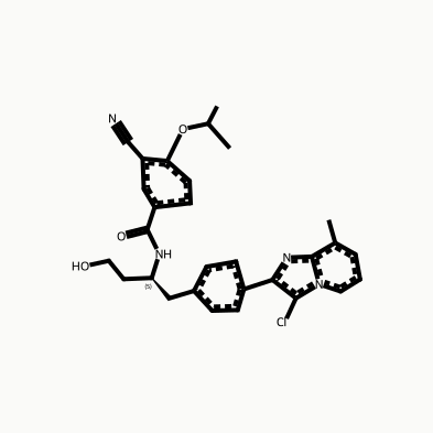 Cc1cccn2c(Cl)c(-c3ccc(C[C@@H](CCO)NC(=O)c4ccc(OC(C)C)c(C#N)c4)cc3)nc12